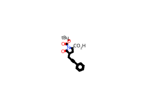 CC(C)(C)OC(=O)N1C(=O)C(CC#Cc2ccccc2)C[C@H]1C(=O)O